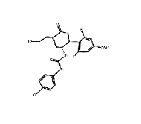 COc1cc(F)c(C2CC(=O)N(CCO)C[C@H]2NC(=O)Nc2ccc(Cl)cc2)c(F)c1